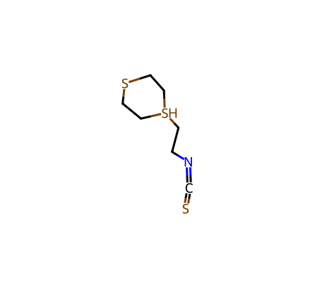 S=C=NCC[SH]1CCSCC1